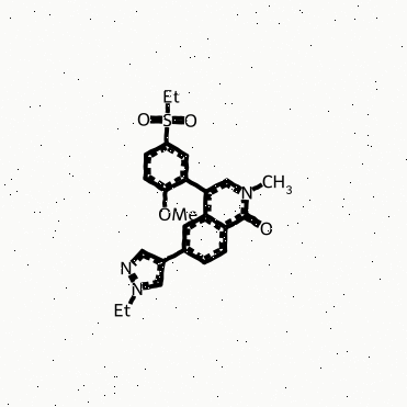 CCn1cc(-c2ccc3c(=O)n(C)cc(-c4cc(S(=O)(=O)CC)ccc4OC)c3c2)cn1